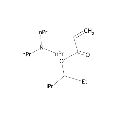 CCCN(CCC)CCC.[CH2]C(C)C(CC)OC(=O)C=C